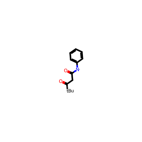 CC(C)(C)C(=O)CC(=O)[N]c1ccccc1